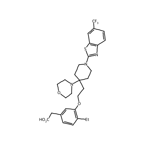 CCc1ccc(CC(=O)O)cc1OCCC1(N2CCOCC2)CCN(c2nc3ccc(C(F)(F)F)cc3s2)CC1